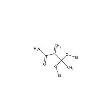 C=C(C(N)=O)C(C)(OCC)OCC